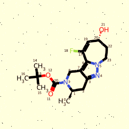 C[C@@H]1Cc2nn3c(c2CN1C(=O)OC(C)(C)C)C(F)=C[C@H](O)CC3